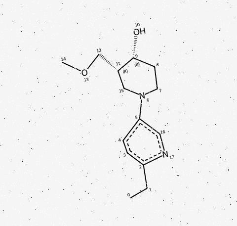 CCc1ccc(N2CC[C@@H](O)[C@@H](COC)C2)cn1